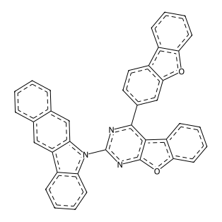 c1ccc2cc3c(cc2c1)c1ccccc1n3-c1nc(-c2ccc3c(c2)oc2ccccc23)c2c(n1)oc1ccccc12